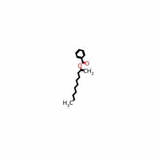 C=C(CCCCCCCCC)OC(=O)c1ccccc1